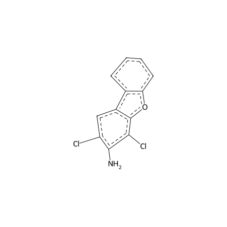 Nc1c(Cl)cc2c(oc3ccccc32)c1Cl